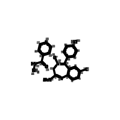 CNC1=Nc2ccc(Cl)cc2C(c2ccccc2)=[N+]([O-])C1.Cl.NNC(=O)c1ccncc1